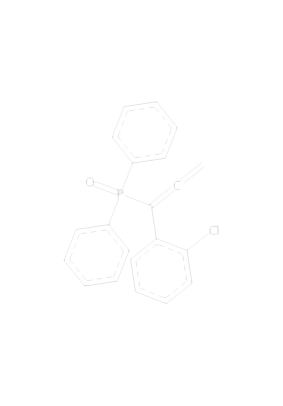 C=C=C(c1ccccc1Cl)P(=O)(c1ccccc1)c1ccccc1